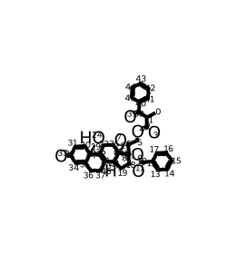 CC(C(=O)OCC(=O)[C@@]1(OC(=O)c2ccccc2)CC[C@H]2C3=C(C(O)C[C@@]21C)[C@@]1(C)C=CC(=O)C=C1CC3)C(=O)c1ccccc1